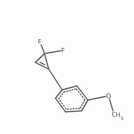 COc1cccc(C2=CC2(F)F)c1